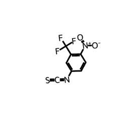 O=[N+]([O-])c1ccc(N=C=S)cc1C(F)(F)F